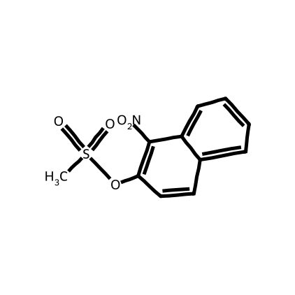 CS(=O)(=O)Oc1ccc2ccccc2c1[N+](=O)[O-]